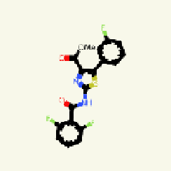 COC(=O)c1nc(NC(=O)c2c(F)cccc2F)sc1-c1cccc(F)c1